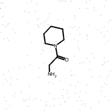 NCC(=O)N1[CH]CCCC1